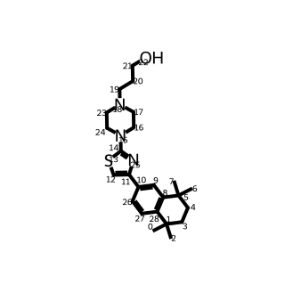 CC1(C)CCC(C)(C)c2cc(-c3csc(N4CCN(CCCO)CC4)n3)ccc21